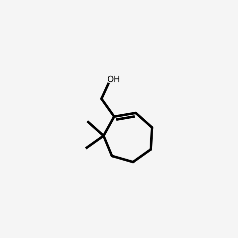 CC1(C)CCCCC=C1CO